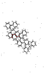 CC1(c2ccccc2)c2ccccc2-c2cc(N(c3ccccc3-c3ccc4c(c3)c(-c3ccccc3)c(-c3ccccc3)c3ccccc34)c3cc4ccccc4c4ccccc34)ccc21